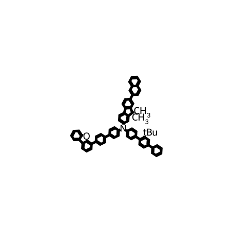 CC(C)(C)c1cc(-c2ccccc2)ccc1-c1ccc(N(c2ccc(-c3ccc(-c4cccc5c4oc4ccccc45)cc3)cc2)c2ccc3c(c2)C(C)(C)c2cc(-c4ccc5ccccc5c4)ccc2-3)cc1